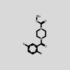 CC(C)(C)OC(=O)N1CCN(C(=O)c2cc(F)ccc2F)CC1